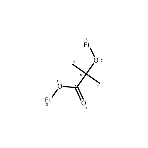 CCOC(=O)C(C)(C)OCC